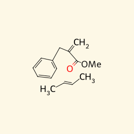 C=C(Cc1ccccc1)C(=O)OC.CC=CC